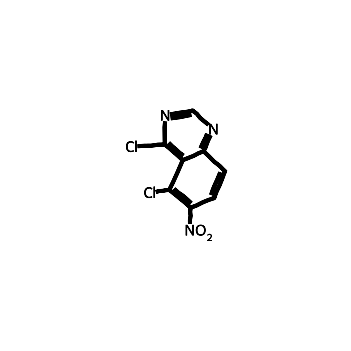 O=[N+]([O-])c1ccc2ncnc(Cl)c2c1Cl